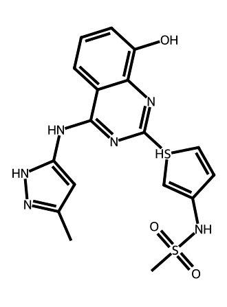 Cc1cc(Nc2nc([SH]3C=CC(NS(C)(=O)=O)=C3)nc3c(O)cccc23)[nH]n1